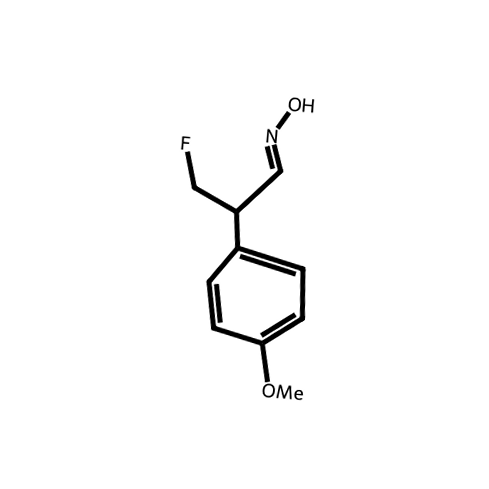 COc1ccc(C(C=NO)CF)cc1